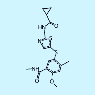 CNC(=O)c1cc(Sc2cnc(NC(=O)C3CC3)s2)c(C)cc1OC